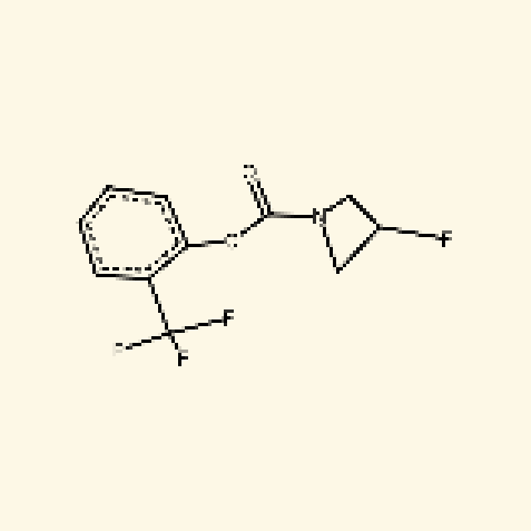 O=C(Oc1ccccc1C(F)(F)F)N1CC(F)C1